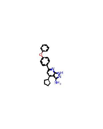 Nc1n[nH]c2nc(-c3ccc(Oc4ccccc4)cc3)cc(C3CCCC3)c12